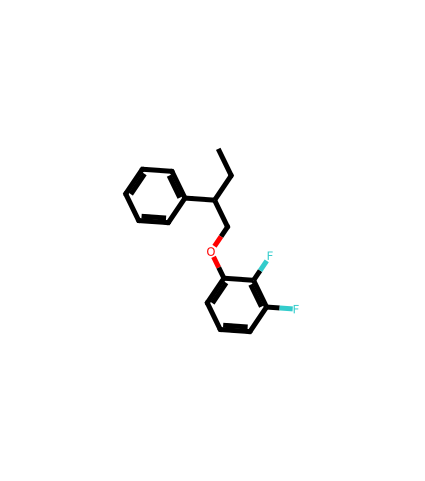 CCC(COc1cccc(F)c1F)c1ccccc1